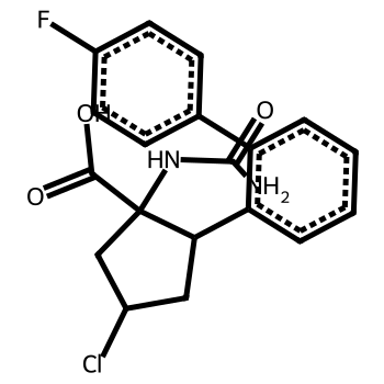 NC(=O)NC1(C(=O)O)CC(Cl)CC1c1ccccc1-c1ccc(F)cc1